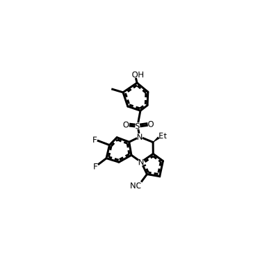 CC[C@H]1c2ccc(C#N)n2-c2cc(F)c(F)cc2N1S(=O)(=O)c1ccc(O)c(C)c1